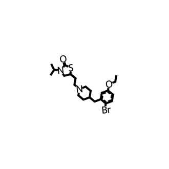 CCOc1ccc(Br)c(CC2CCN(CCC3CN(C(C)C)C(=O)S3)CC2)c1